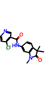 CN1C(=O)C(C)(C)c2ccc(NC(=O)c3cnccc3Cl)cc21